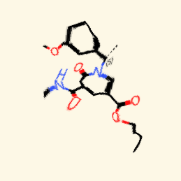 CCCCOC(=O)c1cc(C(=O)NC)c(=O)n([C@@H](C)c2cccc(OC)c2)c1